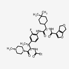 CCC(=O)N[C@@H](C(=O)N1CCN(C)CC1)[C@@H](C)c1ccc(NC(=O)[C@@H](NC(=O)c2coc3c2COC3)C2CCC(C)(C)CC2)c(F)c1